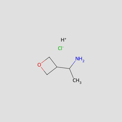 CC(N)C1COC1.[Cl-].[H+]